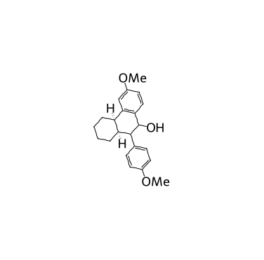 COc1ccc(C2C(O)c3ccc(OC)cc3[C@@H]3CCCC[C@H]23)cc1